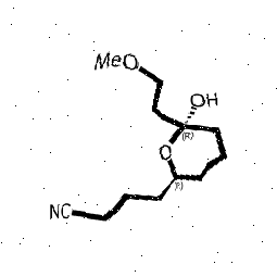 COCC[C@@]1(O)CCC[C@@H](CCCC#N)O1